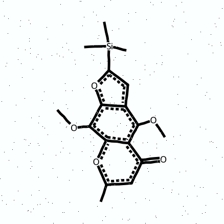 COc1c2oc([Si](C)(C)C)cc2c(OC)c2c(=O)cc(C)oc12